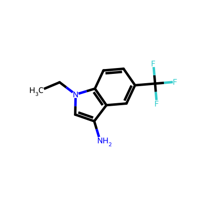 CCn1cc(N)c2cc(C(F)(F)F)ccc21